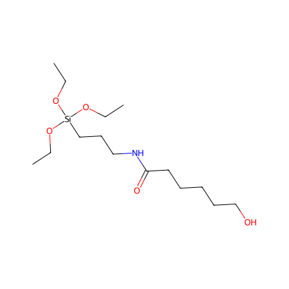 CCO[Si](CCCNC(=O)CCCCCO)(OCC)OCC